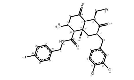 CC(C)C[C@H]1C(=O)N(Cc2ccc(Cl)c(Cl)c2)C[C@H]2N1C(=O)CN(C)N2C(=O)NCc1ccc(F)cc1